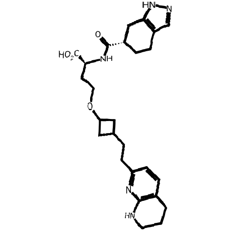 O=C(N[C@@H](CCOC1CC(CCc2ccc3c(n2)NCCC3)C1)C(=O)O)[C@H]1CCc2cn[nH]c2C1